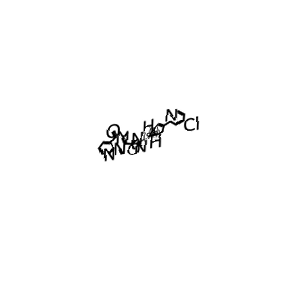 C=Nc1ncccc1C(=O)N(C)Cc1nc([C@@H]2[C@H]3C=C(c4cc(Cl)ccn4)C[C@H]32)no1